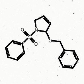 O=S(=O)(c1ccccc1)N1CC=CC1OCc1ccccc1